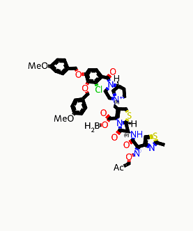 BOC(=O)C1=C(C[N@@+]23CC[C@@H](C2)N(C(=O)c2ccc(OCc4ccc(OC)cc4)c(OCc4ccc(OC)cc4)c2Cl)CC3)CS[C@@H]2[C@H](NC(=O)/C(=N\OCC(C)=O)c3csc(C)n3)C(=O)N12